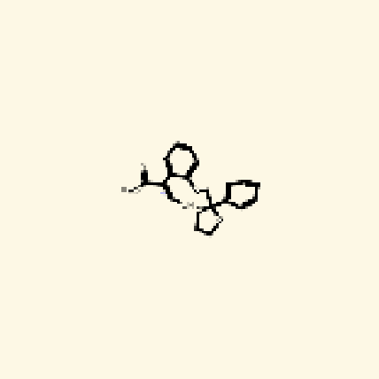 COC(=O)/C(=C/O)c1ccccc1SCC1(c2ccccc2)OCCO1